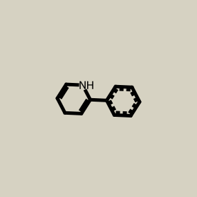 C1=CNC(c2ccccc2)=CC1